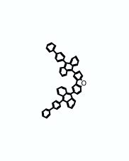 c1ccc(-c2ccc(-c3c4ccccc4c(-c4ccc5oc6ccc(-c7c8ccccc8c(-c8ccc(-c9ccccc9)cc8)c8ccccc78)cc6c5c4)c4ccccc34)cc2)cc1